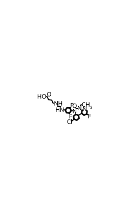 CCN1C(=O)N(c2c(F)cc(NCCNCCCC(=O)O)cc2F)c2cc(Cl)ccc2-c2cc(F)cnc21